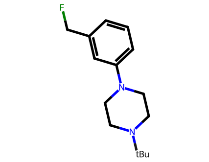 CC(C)(C)N1CCN(c2cccc(CF)c2)CC1